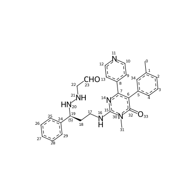 Cc1cccc(-c2c(-c3ccncc3)nc(NCC[C@H](NNCC=O)c3ccccc3)n(C)c2=O)c1